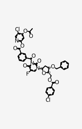 CC(=O)Oc1cc(OC(=O)c2cccc(C(=O)n3c(=O)c(F)cn([C@H]4C[C@H](OCc5ccccc5)[C@@H](COC(=O)c5ccc(Cl)cc5)O4)c3=O)c2)ncc1Cl